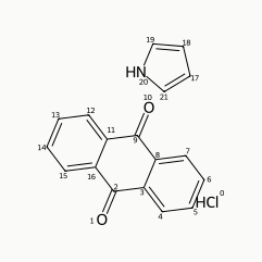 Cl.O=C1c2ccccc2C(=O)c2ccccc21.c1cc[nH]c1